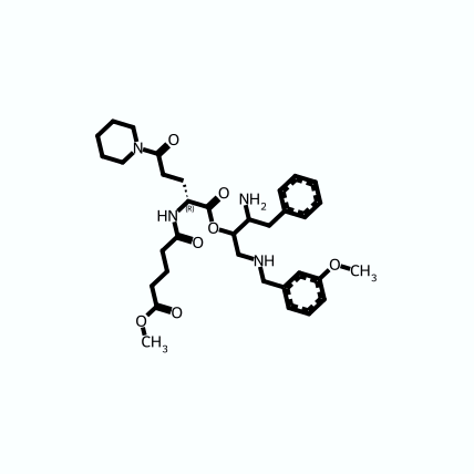 COC(=O)CCCC(=O)N[C@H](CCC(=O)N1CCCCC1)C(=O)OC(CNCc1cccc(OC)c1)C(N)Cc1ccccc1